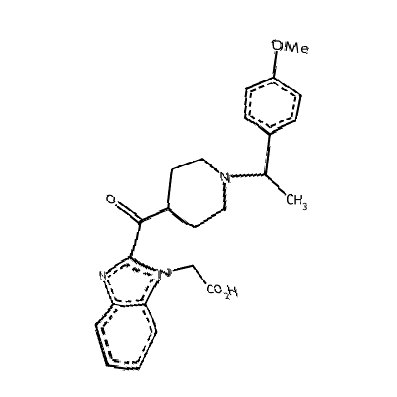 COc1ccc(C(C)N2CCC(C(=O)c3nc4ccccc4n3CC(=O)O)CC2)cc1